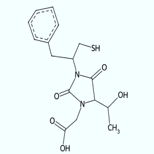 CC(O)C1C(=O)N(C(CS)Cc2ccccc2)C(=O)N1CC(=O)O